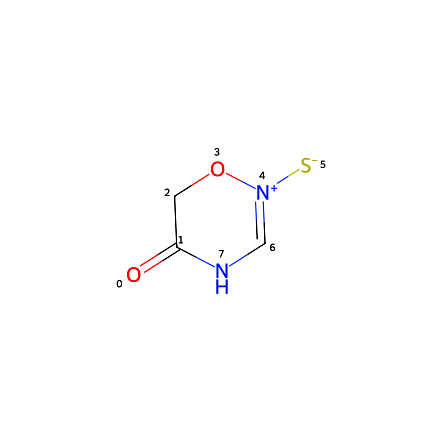 O=C1CO[N+]([S-])=CN1